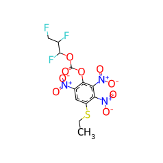 CCSc1cc([N+](=O)[O-])c(OC(=O)OC(F)C(F)CF)c([N+](=O)[O-])c1[N+](=O)[O-]